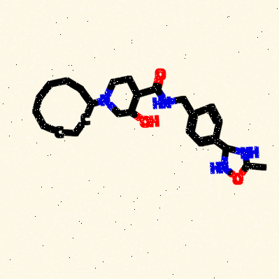 CC1NC(c2ccc(CNC(=O)C3CCN(C4CCCCCCCCC4)CC3O)cc2)NO1